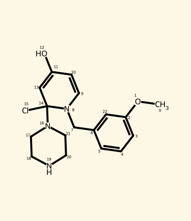 COc1cccc(CN2C=CC(O)=CC2(Cl)N2CCNCC2)c1